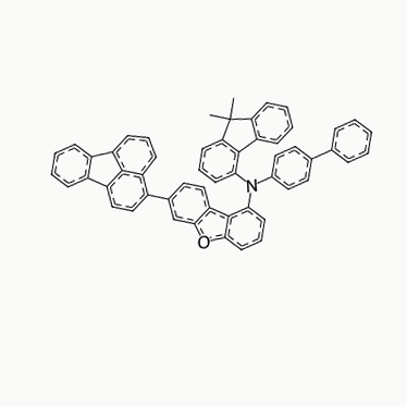 CC1(C)c2ccccc2-c2c(N(c3ccc(-c4ccccc4)cc3)c3cccc4oc5cc(-c6ccc7c8c(cccc68)-c6ccccc6-7)ccc5c34)cccc21